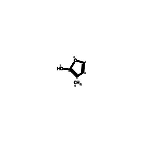 C.Oc1ccco1